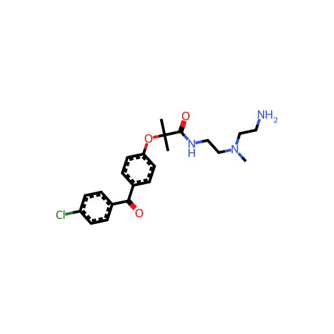 CN(CCN)CCNC(=O)C(C)(C)Oc1ccc(C(=O)c2ccc(Cl)cc2)cc1